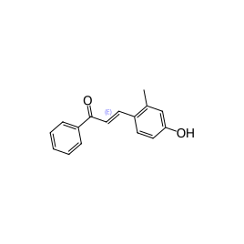 Cc1cc(O)ccc1/C=C/C(=O)c1ccccc1